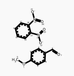 COc1ccc(C=O)cc1.O=[N+]([O-])c1ccccc1[N+](=O)[O-]